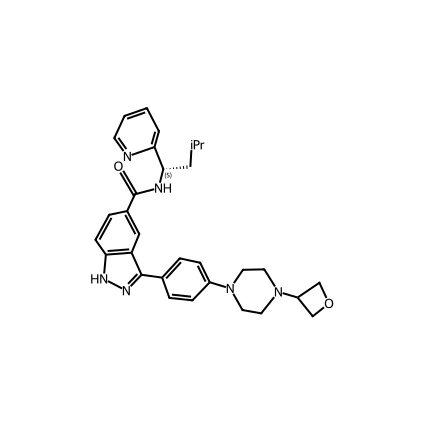 CC(C)C[C@H](NC(=O)c1ccc2[nH]nc(-c3ccc(N4CCN(C5COC5)CC4)cc3)c2c1)c1ccccn1